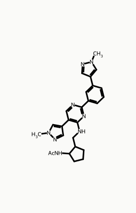 CC(=O)NC1CCCC1CNc1nc(-c2cccc(-c3cnn(C)c3)c2)ncc1-c1cnn(C)c1